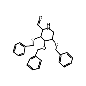 O=CC1NCC(OCc2ccccc2)C(OCc2ccccc2)C1OCc1ccccc1